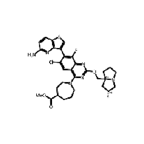 COC(=O)C1CCCN(c2nc(OC[C@@]34CCCN3C[C@H](F)C4)nc3c(F)c(-c4csc5ccc(N)nc45)c(Cl)cc23)CC1